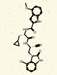 COc1cccc2[nH]c(C(=O)N[C@@H](CC3CC3)C(=O)N[C@H](C#N)C[C@H]3C(=O)Nc4cccc(Cl)c43)cc12